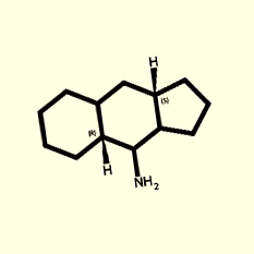 NC1C2CCC[C@H]2CC2CCCC[C@H]21